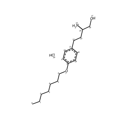 CCCCCCCOc1ccc(CCC(N)CO)cc1.Cl